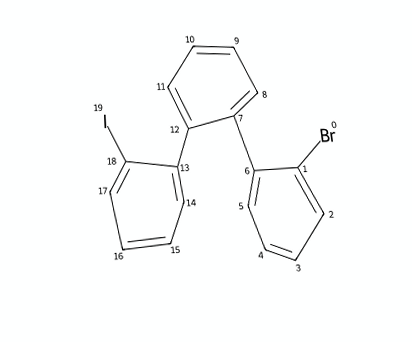 Brc1ccccc1-c1ccccc1-c1ccccc1I